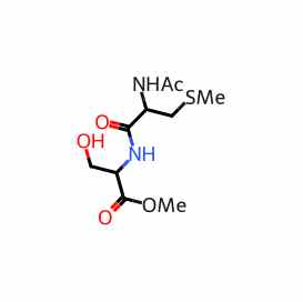 COC(=O)C(CO)NC(=O)C(CSC)NC(C)=O